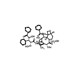 CC(=O)O[C@H]1C(=O)[C@]2(C)[C@@H](CO)C[C@H]3OC[C@@]3(OC(C)=O)[C@H]2[C@H](OC(=O)c2ccccc2)[C@]2(O)C[C@H](OC(=O)[C@H](OO)[C@H](c3ccccc3)N(O)C(=O)c3ccccc3)C(C)=C1C2(C)C